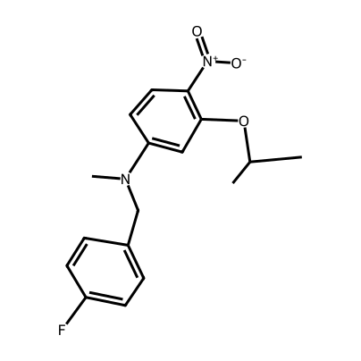 CC(C)Oc1cc(N(C)Cc2ccc(F)cc2)ccc1[N+](=O)[O-]